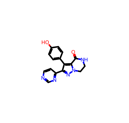 O=C1NCCn2nc(-c3ccncn3)c(-c3ccc(O)cc3)c21